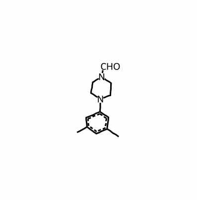 Cc1cc(C)cc(N2CCN(C=O)CC2)c1